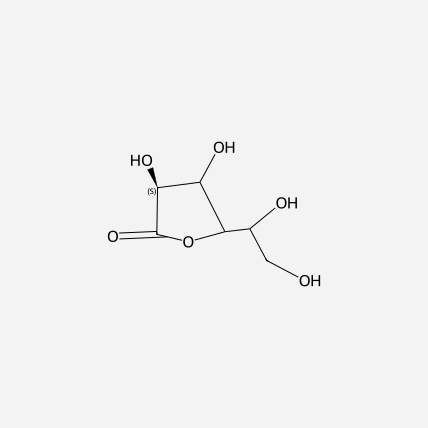 O=C1OC(C(O)CO)C(O)[C@@H]1O